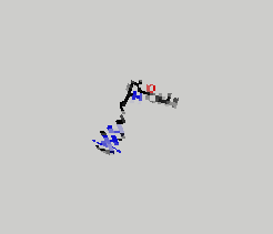 COC(=O)c1nc(C#CCCN2CCN(c3ncccn3)CC2)ccc1C